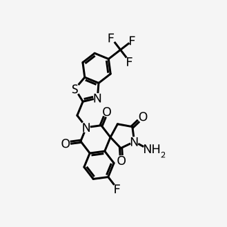 NN1C(=O)CC2(C1=O)C(=O)N(Cc1nc3cc(C(F)(F)F)ccc3s1)C(=O)c1ccc(F)cc12